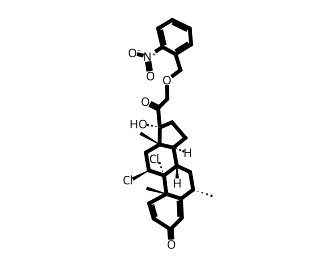 C[C@H]1C[C@H]2[C@@H]3CC[C@](O)(C(=O)COCc4ccccc4[N+](=O)[O-])[C@@]3(C)C[C@H](Cl)[C@]2(Cl)[C@@]2(C)C=CC(=O)C=C12